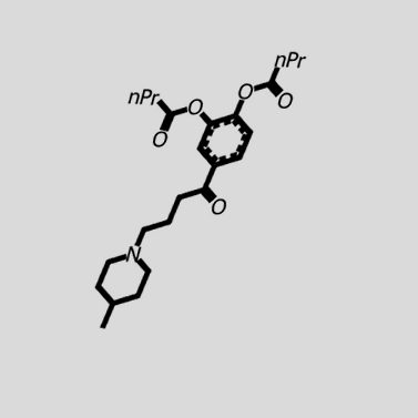 CCCC(=O)Oc1ccc(C(=O)CCCN2CCC(C)CC2)cc1OC(=O)CCC